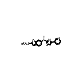 CCCCCCCCc1cc2ccc(Nc3nc(-c4cccnc4)cs3)cc2o1